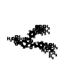 CC(C)C(C)(C)[Si](C)(C)Oc1ccc(C=CC(=O)O[C@@H]2CCCN(C(=O)OC(C)(C)C)C[C@H]2NC(=O)c2ccc(O[Si](C)(C)C(C)(C)C(C)C)cc2)cc1